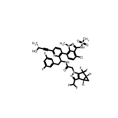 C[C@@H](O)C#Cc1ccc(-c2ccc(Cl)c3c(NS(C)(=O)=O)nn(C)c23)c(C(Cc2cc(F)cc(F)c2)NC(=O)Cn2nc(C(F)F)c3c2C(F)(F)[C@@H]2C[C@H]32)n1